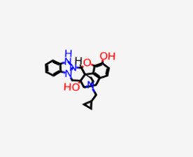 Oc1ccc2c3c1O[C@H]1N4Nc5ccccc5N4C[C@@]4(O)C(C2)N(CC2CC2)CC[C@]314